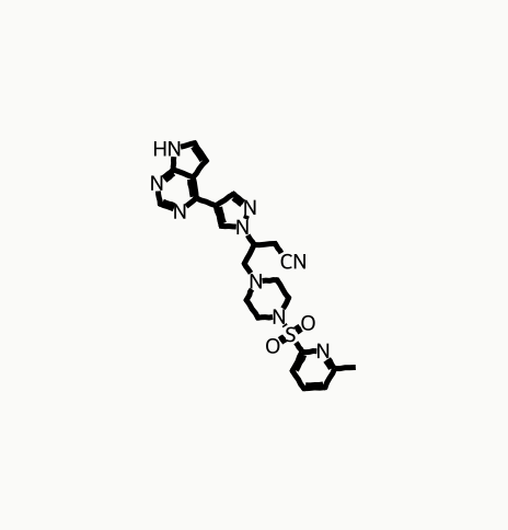 Cc1cccc(S(=O)(=O)N2CCN(CC(CC#N)n3cc(-c4ncnc5[nH]ccc45)cn3)CC2)n1